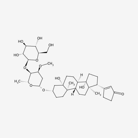 CO[C@H]1C[C@H](O[C@H]2CC[C@]3(C)[C@H]4CC[C@]5(C)[C@@H](C6=CC(=O)CC6)CC[C@]5(O)[C@@H]4CC[C@]3(O)C2)O[C@H](C)[C@H]1O[C@@H]1O[C@H](CO)[C@@H](O)[C@H](O)[C@H]1O